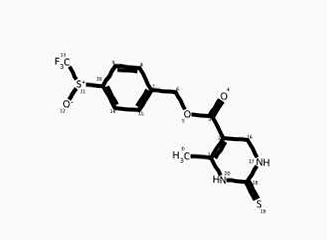 CC1=C(C(=O)OCc2ccc([S+]([O-])C(F)(F)F)cc2)CNC(=S)N1